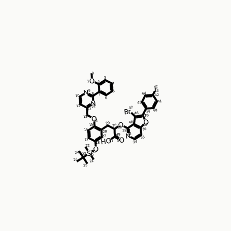 COc1ccccc1-c1nccc(COc2ccc(O[Si](C)(C)C(C)(C)C)cc2CC(Oc2nccc3oc(-c4ccc(F)cc4)c(Br)c23)C(=O)O)n1